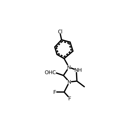 CC1NN(c2ccc(Cl)cc2)C(C=O)N1C(F)F